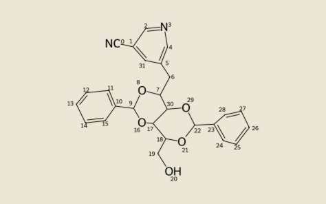 N#Cc1cncc(CC2OC(c3ccccc3)OC3C(CO)OC(c4ccccc4)OC23)c1